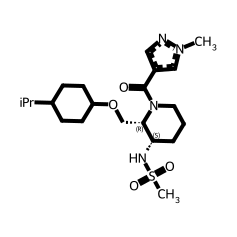 CC(C)C1CCC(OC[C@H]2[C@@H](NS(C)(=O)=O)CCCN2C(=O)c2cnn(C)c2)CC1